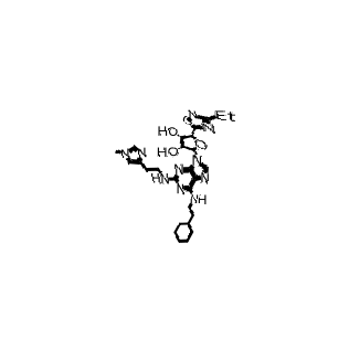 CCc1noc([C@H]2O[C@@H](n3cnc4c(NCCC5CCCCC5)nc(NCCc5cn(C)cn5)nc43)[C@H](O)[C@@H]2O)n1